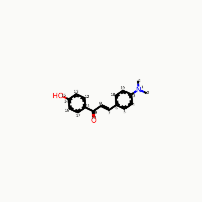 CN(C)c1ccc(C=CC(=O)c2ccc(O)cc2)cc1